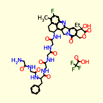 CC[C@@]1(O)C(=O)OCc2c1cc1n(c2=O)Cc2c-1nc1cc(F)c(C)c3c1c2[C@@H](NC(=O)CNC(=O)CNC(=O)CNC(=O)C(Cc1ccccc1)NC(=O)CNC(=O)CN)CC3.O=C(O)C(F)(F)F